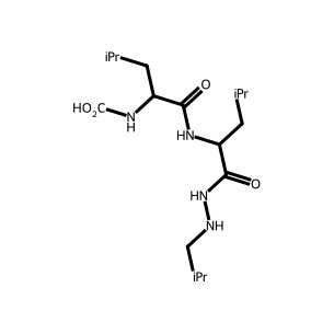 CC(C)CNNC(=O)C(CC(C)C)NC(=O)C(CC(C)C)NC(=O)O